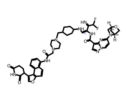 N=C(/C(=C\NC1CCC(CN2CCN(CC(=O)Nc3cccc4c3ccc3occ(C5CCC(=O)NC5=O)c34)CC2)CC1)NC(=O)c1cnn2ccc(N3C[C@H]4C[C@@H]3CO4)nc12)C(F)F